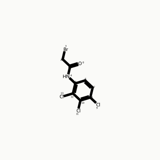 O=C(CBr)Nc1ccc(Cl)c(Cl)c1Cl